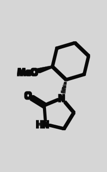 CO[C@H]1CCCC[C@@H]1N1CCNC1=O